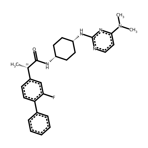 C[C@H](C(=O)N[C@H]1CC[C@@H](Nc2nccc(N(C)C)n2)CC1)c1ccc(-c2ccccc2)c(F)c1